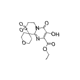 CCOC(=O)c1nc2n(c(=O)c1O)CCS(=O)(=O)C21CCOCC1